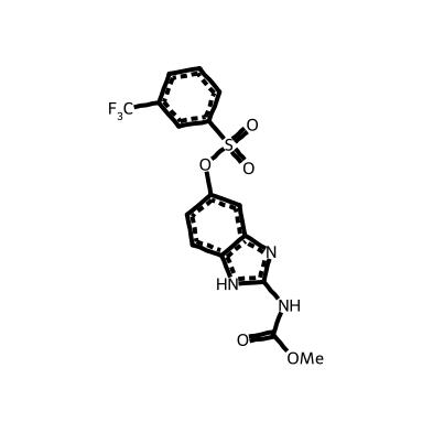 COC(=O)Nc1nc2cc(OS(=O)(=O)c3cccc(C(F)(F)F)c3)ccc2[nH]1